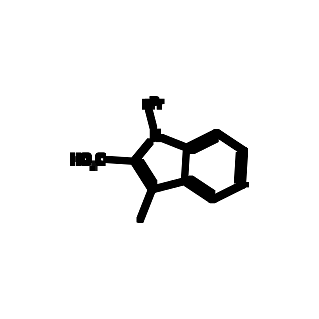 CCCn1c(C(=O)O)c(C)c2c[c]ccc21